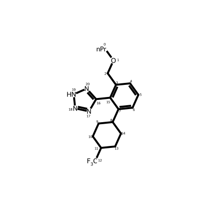 CCCOCc1cccc(C2CCC(C(F)(F)F)CC2)c1-c1nn[nH]n1